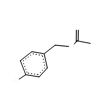 CC(=S)OCc1ccc([N+](=O)[O-])cc1